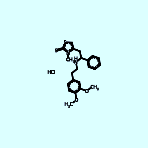 COc1ccc(CCNC(Cc2csc(=S)n2C)c2ccccc2)cc1OC.Cl